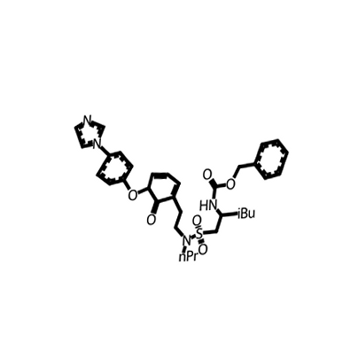 CCCN(CCC1=CC=CC(Oc2ccc(-n3ccnc3)cc2)C1=O)S(=O)(=O)CC(NC(=O)OCc1ccccc1)C(C)CC